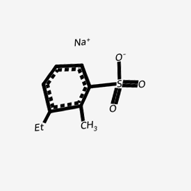 CCc1cccc(S(=O)(=O)[O-])c1C.[Na+]